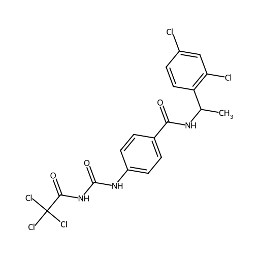 CC(NC(=O)c1ccc(NC(=O)NC(=O)C(Cl)(Cl)Cl)cc1)c1ccc(Cl)cc1Cl